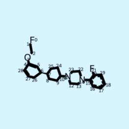 FCCOC1=C[C@@H](C2CCC(N3CCN(c4ccccc4F)CC3)CC2)CC=C1